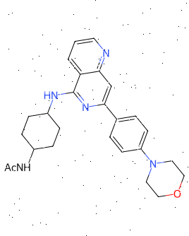 CC(=O)NC1CCC(Nc2nc(-c3ccc(N4CCOCC4)cc3)cc3ncccc23)CC1